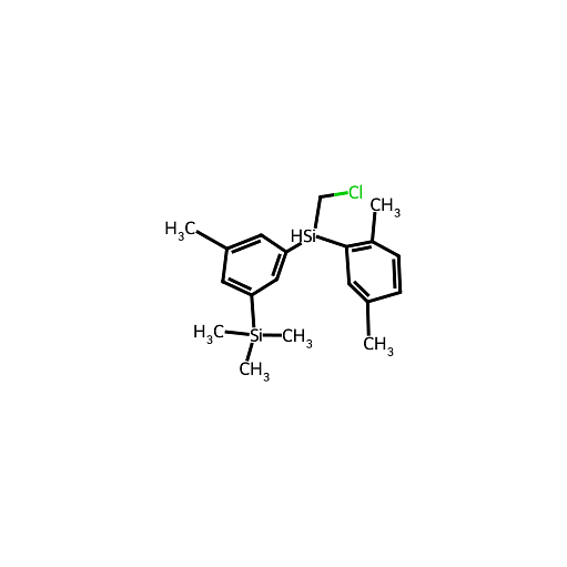 Cc1cc([SiH](CCl)c2cc(C)ccc2C)cc([Si](C)(C)C)c1